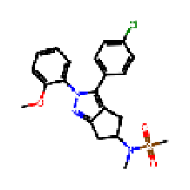 COc1ccccc1-n1nc2c(c1-c1ccc(Cl)cc1)CC(N(C)S(C)(=O)=O)C2